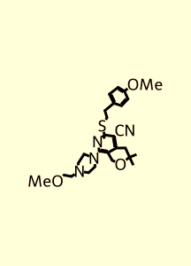 COCCN1CCN(c2nc(SCCc3ccc(OC)cc3)c(C#N)c3c2COC(C)(C)C3)CC1